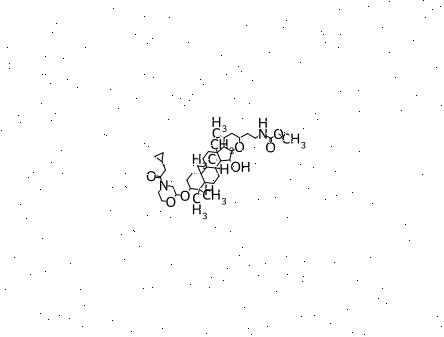 COC(=O)NCCC1C[C@@H](C)C2C(O1)[C@H](O)[C@@]1(C)[C@@H]3CC[C@H]4C(C)(C)[C@@H](OC5CN(C(=O)CC6CC6)CCO5)CC[C@@]45CC35CC[C@]21C